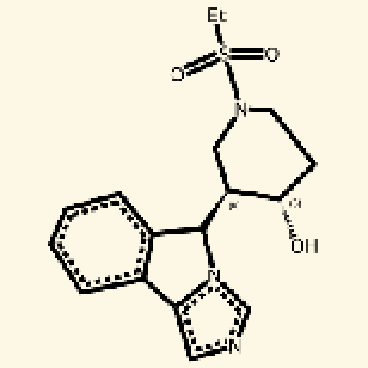 CCS(=O)(=O)N1CC[C@H](O)[C@@H](C2c3ccccc3-c3cncn32)C1